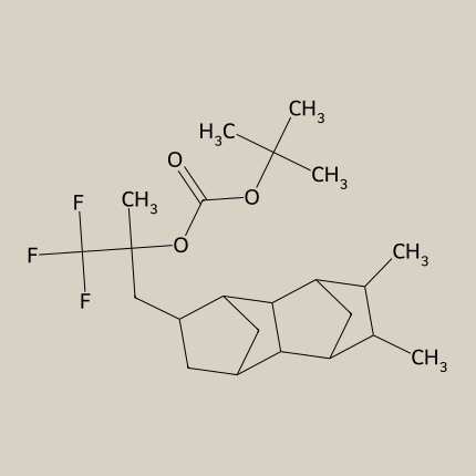 CC1C(C)C2CC1C1C3CC(CC(C)(OC(=O)OC(C)(C)C)C(F)(F)F)C(C3)C21